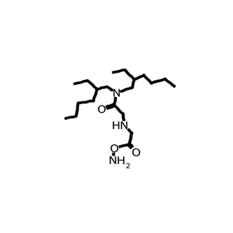 CCCCC(CC)CN(CC(CC)CCCC)C(=O)CNCC(=O)ON